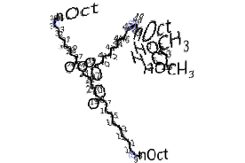 CC(O)CC(C)(C)O.CCCCCCCC/C=C\CCCCCCCC(=O)OCC(COC(=O)CCCCCCC/C=C\CCCCCCCC)OC(=O)CCCCCCC/C=C\CCCCCCCC